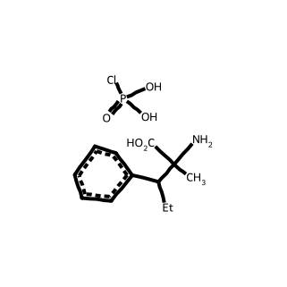 CCC(c1ccccc1)C(C)(N)C(=O)O.O=P(O)(O)Cl